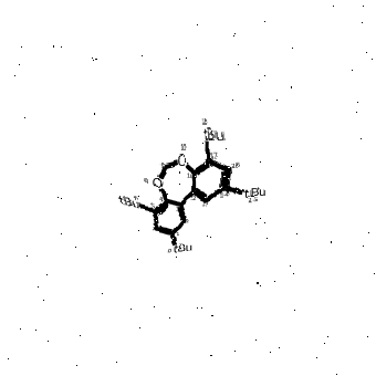 CC(C)(C)c1cc2c(c(C(C)(C)C)c1)OCOc1c-2cc(C(C)(C)C)cc1C(C)(C)C